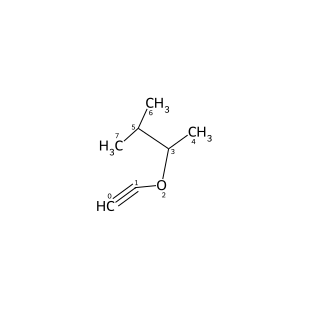 C#COC(C)C(C)C